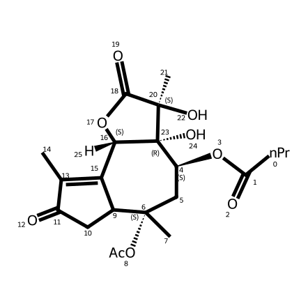 CCCC(=O)O[C@H]1C[C@](C)(OC(C)=O)C2CC(=O)C(C)=C2[C@@H]2OC(=O)[C@@](C)(O)[C@@]12O